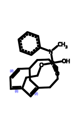 CN(c1ccccc1)P(=O)(O)OCCC1=C\C=C/C2CCCCC\C(=C\1)C2